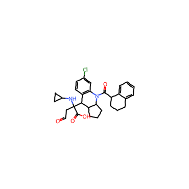 O=CCC(NC1CC1)(C(=O)O)C1c2ccc(Cl)cc2N(C(=O)C2CCCc3ccccc32)C2CCCC21